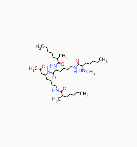 CCCCCC(C)C(=O)NCCCCC(CC(C)=O)NC(=O)C(CCCCNC(=O)C(CCCCC)NC)NC(=O)C(C)CCCCC